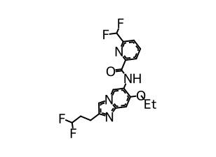 CCOc1cc2nc(CCC(F)F)cn2cc1NC(=O)c1cccc(C(F)F)n1